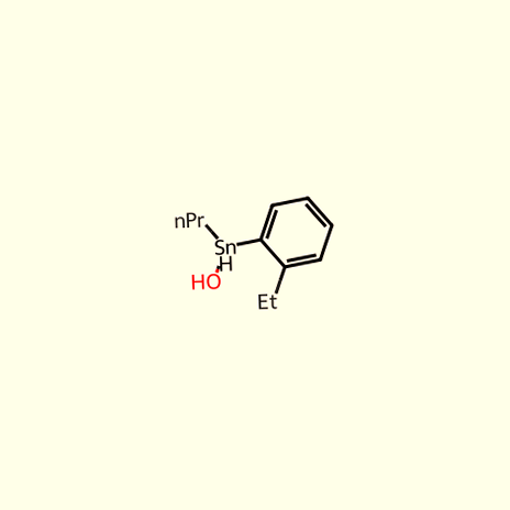 CC[CH2][SnH]([OH])[c]1ccccc1CC